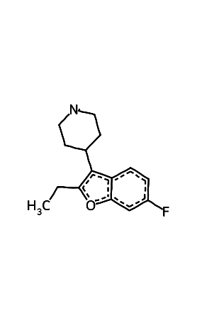 CCc1oc2cc(F)ccc2c1C1CC[N]CC1